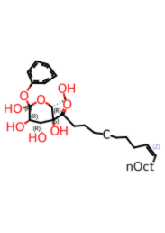 CCCCCCCC/C=C\CCCCCCCC(=O)[C@]1(O)[C@H](O)[C@@H](O)[C@](O)(Oc2ccccc2)O[C@@H]1CO